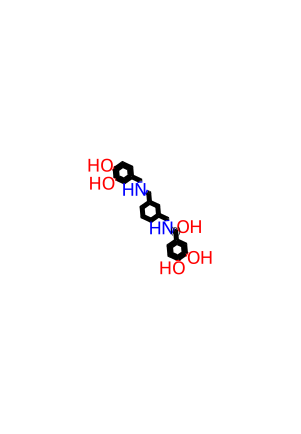 Oc1ccc(CNCC2CCCC(CN[C@H](O)c3ccc(O)c(O)c3)C2)cc1O